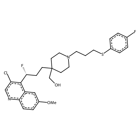 COc1ccc2ncc(Cl)c([C@H](F)CCC3(CO)CCN(CCCSc4ccc(F)cc4)CC3)c2c1